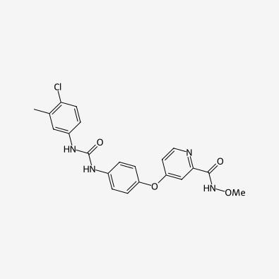 CONC(=O)c1cc(Oc2ccc(NC(=O)Nc3ccc(Cl)c(C)c3)cc2)ccn1